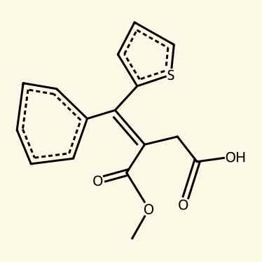 COC(=O)C(CC(=O)O)=C(c1ccccc1)c1cccs1